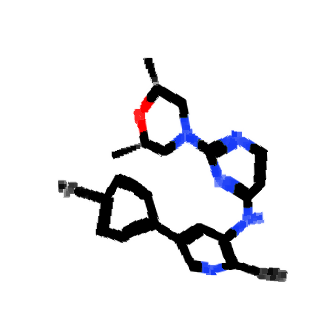 COc1ncc(-c2ccc(C(F)(F)F)cc2)cc1Nc1ccnc(N2C[C@@H](C)O[C@@H](C)C2)n1